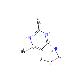 CCc1nc2c(c(C(C)C)n1)CCCN2